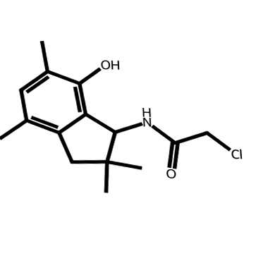 Cc1cc(C)c2c(c1O)C(NC(=O)CCl)C(C)(C)C2